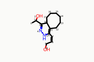 CC(O)C1=NNC(/C=C\CO)=C2CCCCCCC12